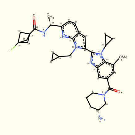 COc1cc(C(=O)N2CCC[C@@H](N)C2)cc2nc(-c3cc4ccc([C@@H](C)NC(=O)C56CC(F)(C5)C6)nc4n3CC3CC3)n(C3CC3)c12